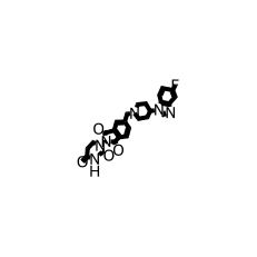 O=C1CCN(N2C(=O)c3ccc(CN4CCC(n5cnc6cc(F)ccc65)CC4)cc3C2=O)C(=O)N1